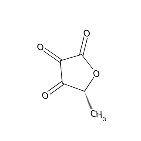 C[C@H]1OC(=O)C(=O)C1=O